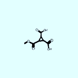 COC(=O)C1C(C(=O)O)C1C(=O)O